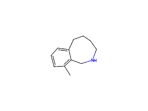 Cc1cccc2c1CNCCCC2